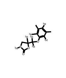 [2H]c1c(C)c([2H])c(OC([2H])([2H])C2([2H])CN([2H])C(=O)O2)c([2H])c1C